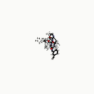 C=C(C)C(/C1=C\[C@@H](C)CN(C(=O)OC(C)(C)C)[C@H](C)CC1)=C(C(\C)=C/C)/C(C)=C\C(C)=C/c1cc(C#N)ccc1C